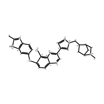 Cc1nc2ccc(Oc3ccc4ncc(-c5cnn(CC6CC7CC6CN7C)c5)nc4c3Cl)cc2[nH]1